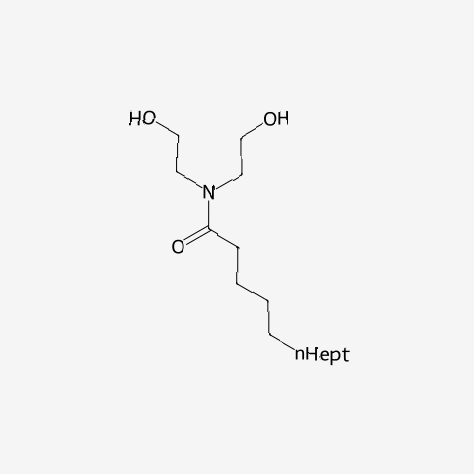 CCCCCCCCCCCC(=O)N(CCO)CCO